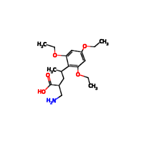 CCOc1cc(OCC)c(C(C)CC(CN)C(=O)O)c(OCC)c1